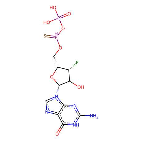 Nc1nc2c(ncn2[C@@H]2O[C@H](CO[PH](=S)OP(=O)(O)O)[C@H](F)C2O)c(=O)[nH]1